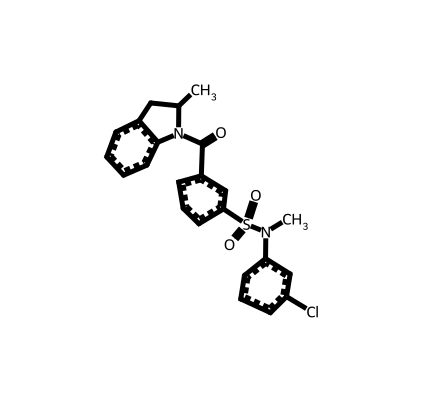 CC1Cc2ccccc2N1C(=O)c1cccc(S(=O)(=O)N(C)c2cccc(Cl)c2)c1